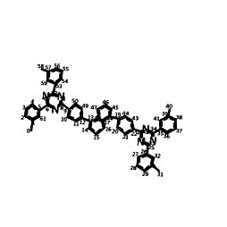 Cc1cccc(-c2nc(-c3ccc(-c4cccc5c(-c6ccc(-c7nc(-c8cccc(C)c8)nc(-c8cccc(C)c8)n7)cc6)cccc45)cc3)nc(-c3cccc(C)c3)n2)c1